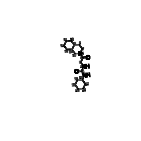 O=C(NCC(=O)N1CCC2CCCC=C2C1)NC1CCCCC1